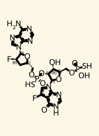 Nc1ncnc2c1ncn2[C@@H]1O[C@H](COP(=O)(S)O[C@@H]2[C@H](O)[C@@H](COP(=O)(O)S)O[C@H]2n2cc(F)c3c(=O)[nH]cnc32)C[C@H]1F